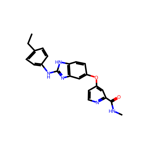 CCc1ccc(Nc2nc3cc(Oc4ccnc(C(=O)NC)c4)ccc3[nH]2)cc1